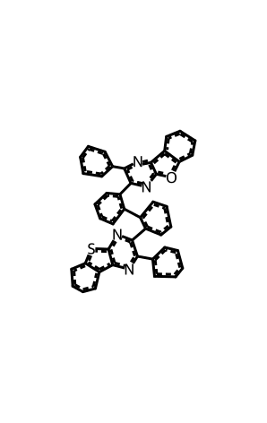 c1ccc(-c2nc3c(nc2-c2ccccc2-c2ccccc2-c2nc4sc5ccccc5c4nc2-c2ccccc2)oc2ccccc23)cc1